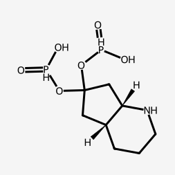 O=[PH](O)OC1(O[PH](=O)O)C[C@H]2CCCN[C@H]2C1